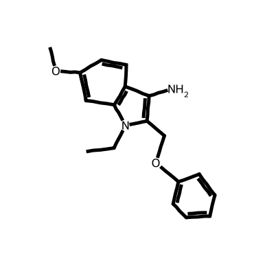 CCn1c(COc2ccccc2)c(N)c2ccc(OC)cc21